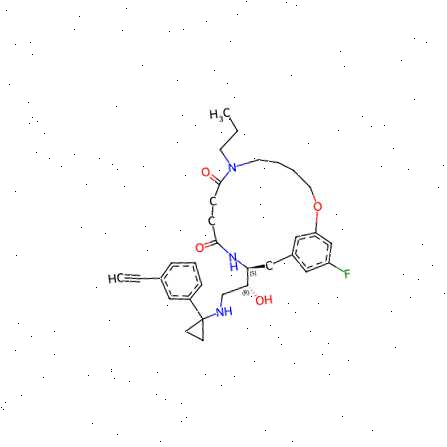 C#Cc1cccc(C2(NC[C@@H](O)[C@@H]3Cc4cc(F)cc(c4)OCCCCN(CCC)C(=O)CCC(=O)N3)CC2)c1